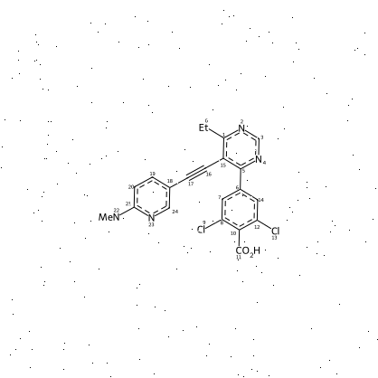 CCc1ncnc(-c2cc(Cl)c(C(=O)O)c(Cl)c2)c1C#Cc1ccc(NC)nc1